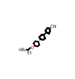 CCCCC(CC)CO[C@H]1CC[C@H](c2ccc(-c3ccc(C#N)cc3)cc2)CC1